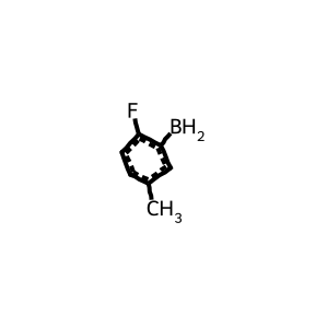 Bc1cc(C)ccc1F